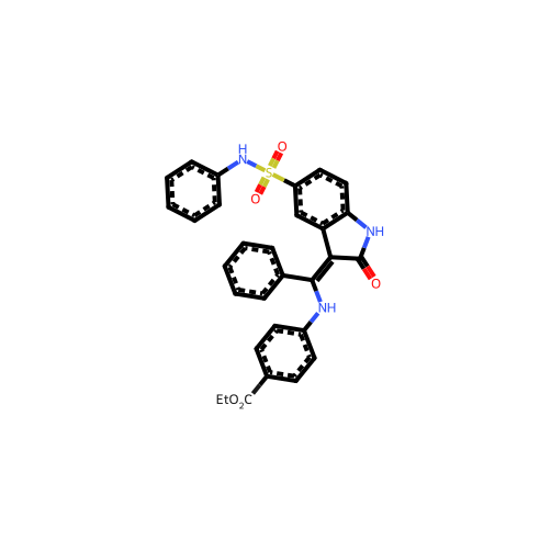 CCOC(=O)c1ccc(N/C(=C2\C(=O)Nc3ccc(S(=O)(=O)Nc4ccccc4)cc32)c2ccccc2)cc1